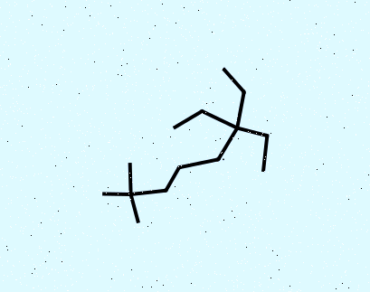 CCC([CH]CCC(C)(C)C)(CC)CC